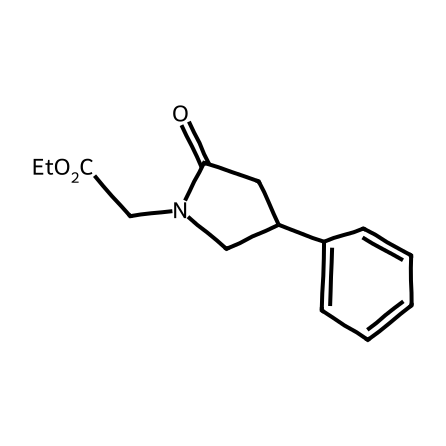 CCOC(=O)CN1CC(c2ccccc2)CC1=O